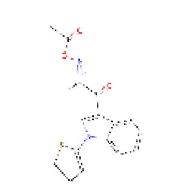 CC(=O)O/N=C(\C)C(=O)c1cn(-c2cccs2)c2ccccc12